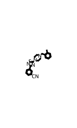 Cc1ccccc1CN1CCN(c2nc(-c3cccc(C#N)c3)ns2)CC1